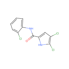 O=C(Nc1ccccc1Cl)c1cc(Cl)c(Cl)[nH]1